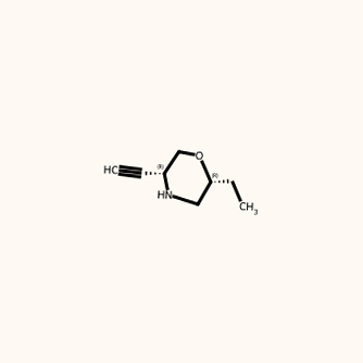 C#C[C@@H]1CO[C@H](CC)CN1